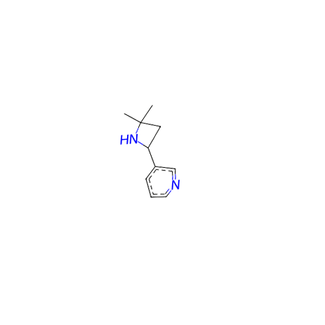 CC1(C)CC(c2cccnc2)N1